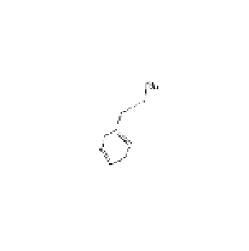 [CH2]CCCCCC1=CCC=CC1